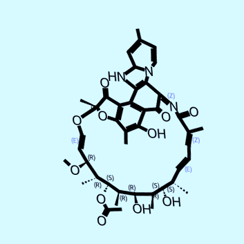 CO[C@H]1/C=C/O[C@@]2(C)Oc3c(C)c(O)c4c(c3C2=O)C2=C(/C(=N/C(=O)/C(C)=C\C=C\[C@H](C)[C@H](O)[C@@H](C)[C@@H](O)[C@@H](C)[C@H](OC(C)=O)[C@@H]1C)C4=O)N1C=CC(C)=CC1N2